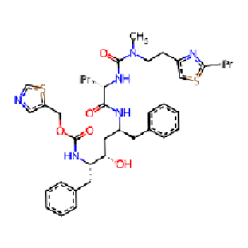 CC(C)c1nc(CCN(C)C(=O)N[C@H](C(=O)N[C@@H](Cc2ccccc2)C[C@H](O)[C@H](Cc2ccccc2)NC(=O)OCc2cncs2)C(C)C)cs1